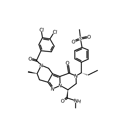 CC[C@@H](c1ccc(S(C)(=O)=O)cc1)N1C[C@@H](C(=O)NC)n2nc3c(c2C1=O)CN(C(=O)c1ccc(Cl)c(Cl)c1)[C@H](C)C3